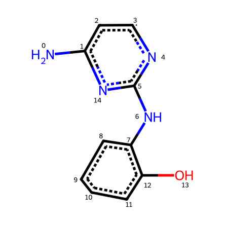 Nc1c[c]nc(Nc2ccccc2O)n1